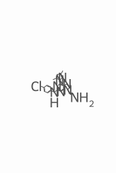 Cc1cc(C)n(-c2nc(Nc3ccc(Cl)cc3)nc3c2ncn3CCN)n1